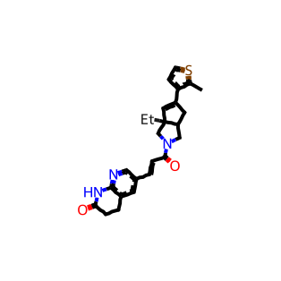 CCC12C=C(c3ccsc3C)CC1CN(C(=O)/C=C/c1cnc3c(c1)CCC(=O)N3)C2